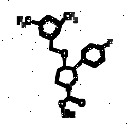 CC(C)(C)OC(=O)N1CC[C@@H](OCc2cc(C(F)(F)F)cc(C(F)(F)F)c2)[C@@H](c2ccc(F)cc2)C1